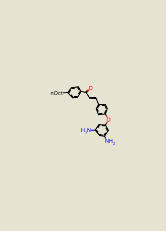 CCCCCCCCc1ccc(C(=O)C=Cc2ccc(Oc3cc(N)cc(N)c3)cc2)cc1